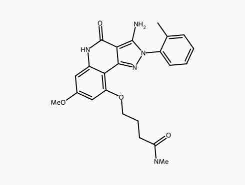 CNC(=O)CCCOc1cc(OC)cc2[nH]c(=O)c3c(N)n(-c4ccccc4C)nc3c12